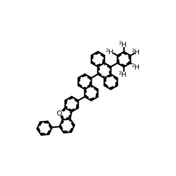 [2H]c1c([2H])c([2H])c(-c2c3ccccc3c(-c3cccc4c(-c5ccc6oc7c(-c8ccccc8)cccc7c6c5)cccc34)c3ccccc23)c([2H])c1[2H]